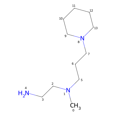 CN(CCN)CCCN1CCCCC1